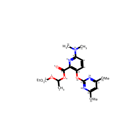 CCOC(=O)OC(C)OC(=O)c1nc(N(C)C)ccc1Oc1nc(OC)cc(OC)n1